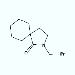 CC(C)CN1CCC2(CCCCC2)C1=O